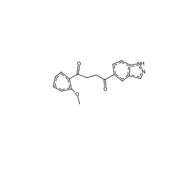 COc1ccccc1C(=O)CCC(=O)c1ccc2[nH]ncc2c1